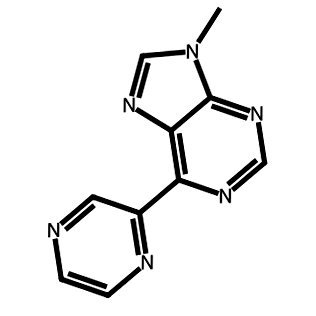 Cn1cnc2c(-c3cnccn3)ncnc21